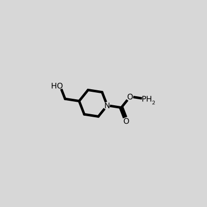 O=C(OP)N1CCC(CO)CC1